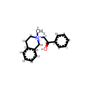 C[N+]1(CC(=O)c2ccccc2)CCc2ccccc2C1